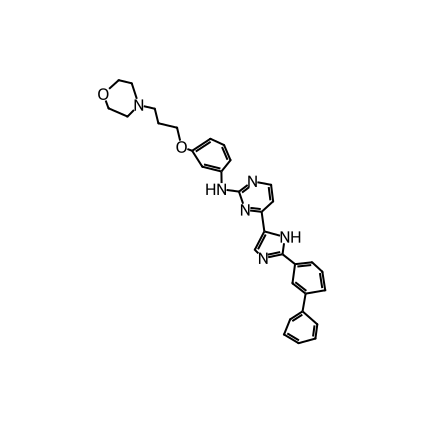 c1ccc(-c2cccc(-c3ncc(-c4ccnc(Nc5cccc(OCCCN6CCOCC6)c5)n4)[nH]3)c2)cc1